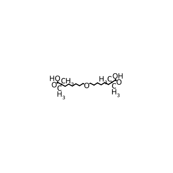 CC(C)(CCCCCCOCCCCCCC(C)(C)C(=O)O)C(=O)O